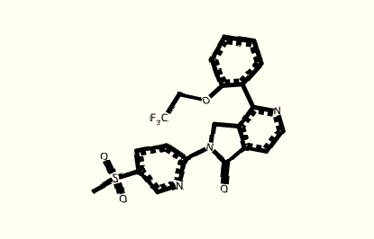 CS(=O)(=O)c1ccc(N2Cc3c(ccnc3-c3ccccc3OCC(F)(F)F)C2=O)nc1